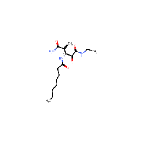 C=C(C(N)=O)[C@@H](NC(=O)CCCCCCC)C(=O)C(=O)NCC